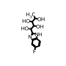 CC(O)C(O)C(O)[C@H](O)c1nc2cc(F)ccc2[nH]1